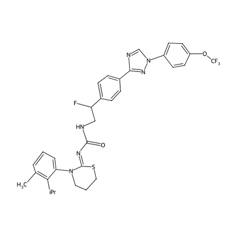 Cc1cccc(N2CCCS/C2=N\C(=O)NCC(F)c2ccc(-c3ncn(-c4ccc(OC(F)(F)F)cc4)n3)cc2)c1C(C)C